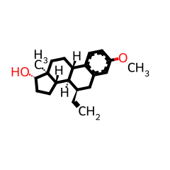 C=C[C@@H]1Cc2cc(OC)ccc2[C@H]2CC[C@]3(C)[C@@H](O)CC[C@H]3[C@H]12